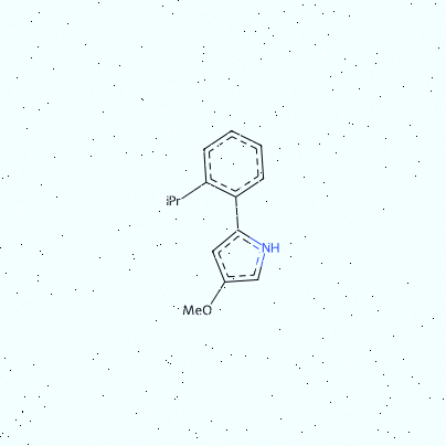 COc1c[nH]c(-c2ccccc2C(C)C)c1